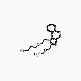 CCOCc1nc2cnc3ccccc3c2n1CCOCCCS